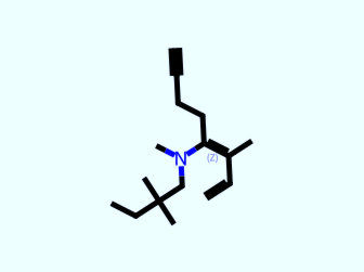 C#CCC/C(=C(\C)C=C)N(C)CC(C)(C)CC